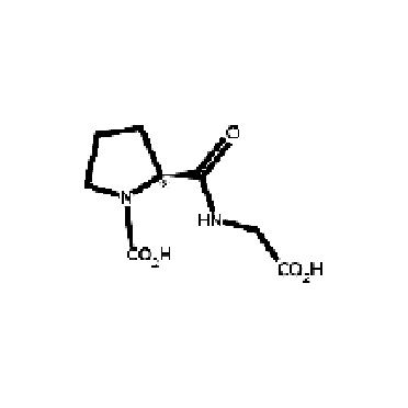 O=C(O)CNC(=O)[C@@H]1CCCN1C(=O)O